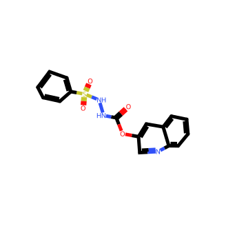 O=C(NNS(=O)(=O)c1ccccc1)Oc1cnc2ccccc2c1